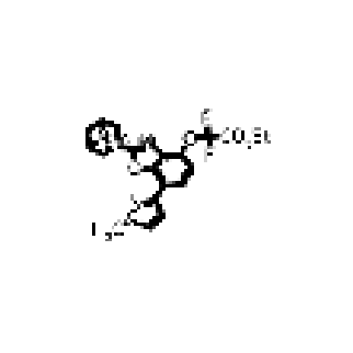 CCOC(=O)C(F)(F)Oc1ccc(-c2ccn(C)n2)c2oc(N3CC4CC(C3)N4C(=O)O)nc12